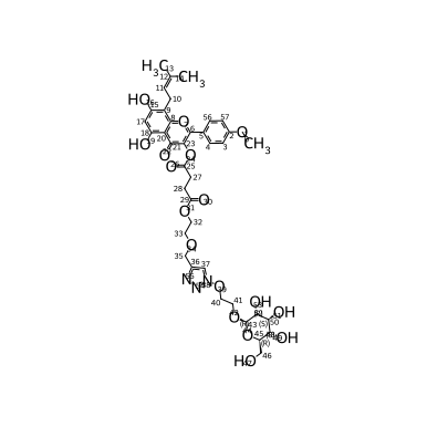 COc1ccc(-c2oc3c(CC=C(C)C)c(O)cc(O)c3c(=O)c2OC(=O)CCC(=O)OCCOCc2cn(OCCO[C@@H]3O[C@H](CO)[C@@H](O)[C@H](O)[C@H]3O)nn2)cc1